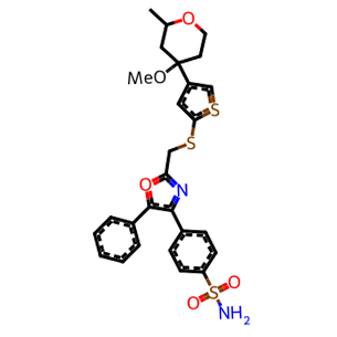 COC1(c2csc(SCc3nc(-c4ccc(S(N)(=O)=O)cc4)c(-c4ccccc4)o3)c2)CCOC(C)C1